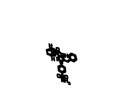 NS(=O)(=O)c1ccc(-n2nc(C(=O)N3[C@@H]4CC[C@H]3CC(CO)C4)nc2Cc2ccccc2)cc1